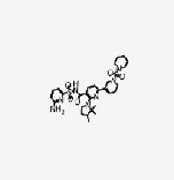 CC1CCN(c2nc(C3=CCCN(S(=O)(=O)N4CCCCC4)C3)ccc2C(=O)NS(=O)(=O)c2cccc(N)n2)C1(C)C